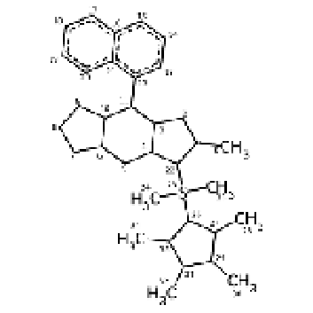 CC1CC2C(CC3CCCC3C2c2cccc3ccccc23)C1S(C)(C)C1C(C)C(C)C(C)C1C